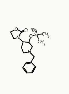 CC(C)(C)[Si](C)(C)OC1CN(Cc2ccccc2)CCC1N1CCOC1=O